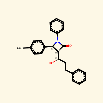 COc1ccc([C@@H]2[C@H]([C@@H](O)CCc3ccccc3)C(=O)N2c2ccccc2)cc1